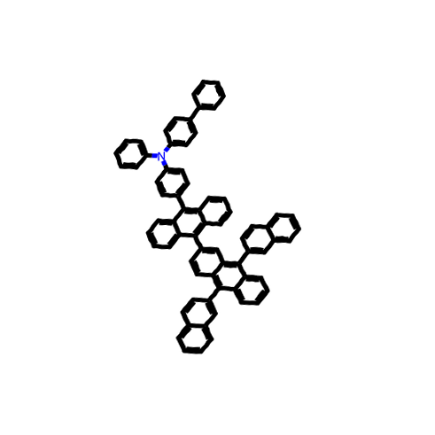 c1ccc(-c2ccc(N(c3ccccc3)c3ccc(-c4c5ccccc5c(-c5ccc6c(-c7ccc8ccccc8c7)c7ccccc7c(-c7ccc8ccccc8c7)c6c5)c5ccccc45)cc3)cc2)cc1